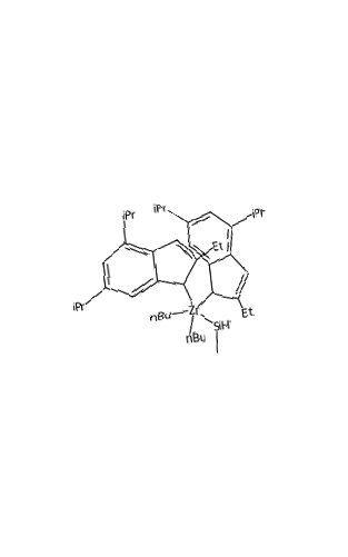 CCC[CH2][Zr]([CH2]CCC)([CH]1C(CC)=Cc2c(C(C)C)cc(C(C)C)cc21)([CH]1C(CC)=Cc2c(C(C)C)cc(C(C)C)cc21)[SiH](C)C